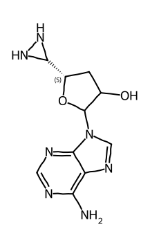 Nc1ncnc2c1ncn2C1O[C@H](C2NN2)CC1O